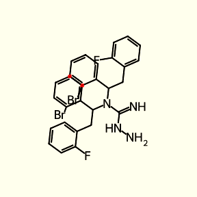 N=C(NN)N(C(Cc1ccccc1F)c1ccccc1Br)C(Cc1ccccc1F)c1ccccc1Br